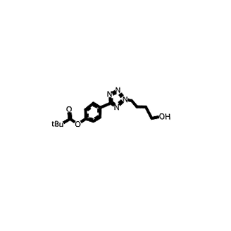 CC(C)(C)C(=O)Oc1ccc(-c2nnn(CCCCO)n2)cc1